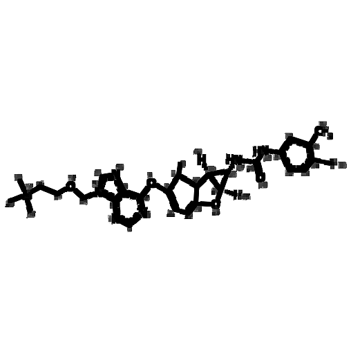 CC1C(Oc2ncnc3c2ncn3COCC[Si](C)(C)C)=CC=C2O[C@@H]3[C@@H](NC(=O)Nc4ccc(F)c(C(F)(F)F)c4)[C@@H]3C21